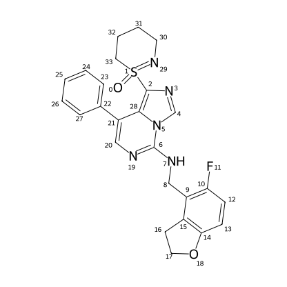 O=S1(c2ncn3c(NCc4c(F)ccc5c4CCO5)ncc(-c4ccccc4)c23)=NCCCC1